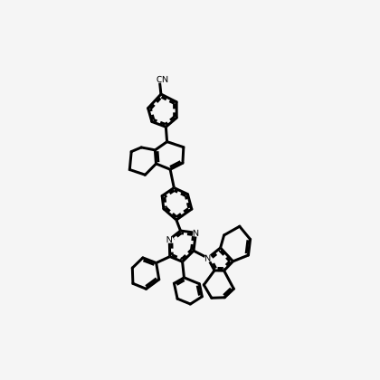 N#Cc1ccc(C2CC=C(c3ccc(-c4nc(C5=CCCC=C5)c(C5=CCCC=C5)c(-n5c6c(c7c5CCC=C7)C=CCC6)n4)cc3)C3=C2CCCC3)cc1